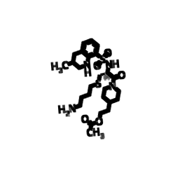 CC(=O)OCCC1CCN(C(=O)[C@H](CSCCCCN)NS(=O)(=O)c2cccc3c2NCC(C)C3)CC1